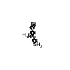 Cc1cc(N2CCC(C(F)(F)F)C2)ccc1NC[C@H]1CC[C@H](N)CC1